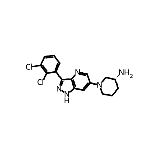 N[C@@H]1CCCN(c2cnc3c(-c4cccc(Cl)c4Cl)n[nH]c3c2)C1